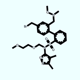 COCCOCN(c1onc(C)c1C)S(=O)(=O)c1ccccc1-c1ccc(CBr)cc1CN(C)OC